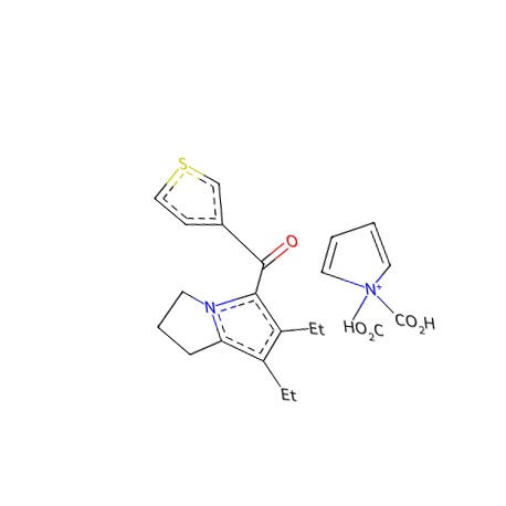 CCc1c(CC)c(C(=O)c2ccsc2)n2c1CCC2.O=C(O)[N+]1(C(=O)O)C=CC=C1